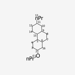 CCCOC1CCC2C(CCC3CC(CCC)CCC32)C1